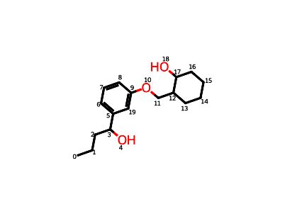 CCCC(O)c1cccc(OCC2CCCCC2O)c1